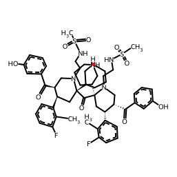 Cc1c(F)cccc1[C@@H]1C[C@](C(=O)[C@]2(C3CCCNC3)C[C@@H](c3cccc(F)c3C)[C@@H](C(=O)c3cccc(O)c3)CN2CCNS(C)(=O)=O)(C2CCCNC2)N(CCNS(C)(=O)=O)C[C@@H]1C(=O)c1cccc(O)c1